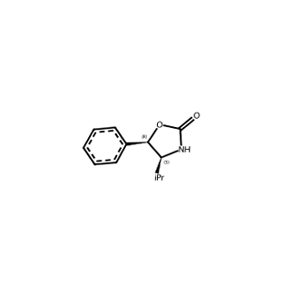 CC(C)[C@@H]1NC(=O)O[C@@H]1c1ccccc1